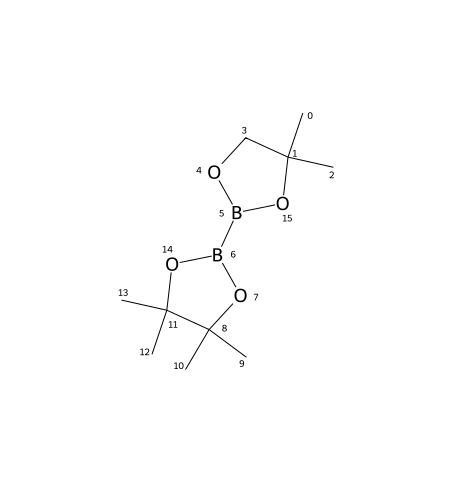 CC1(C)COB(B2OC(C)(C)C(C)(C)O2)O1